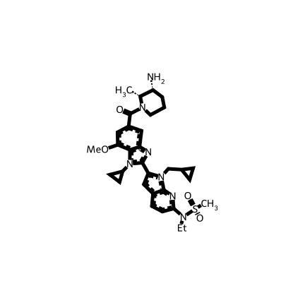 CCN(c1ccc2cc(-c3nc4cc(C(=O)N5CCC[C@@H](N)[C@H]5C)cc(OC)c4n3C3CC3)n(CC3CC3)c2n1)S(C)(=O)=O